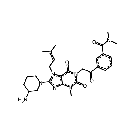 CC(C)=CCn1c(N2CCCC(N)C2)nc2c1c(=O)n(CC(=O)c1cccc(C(=O)N(C)C)c1)c(=O)n2C